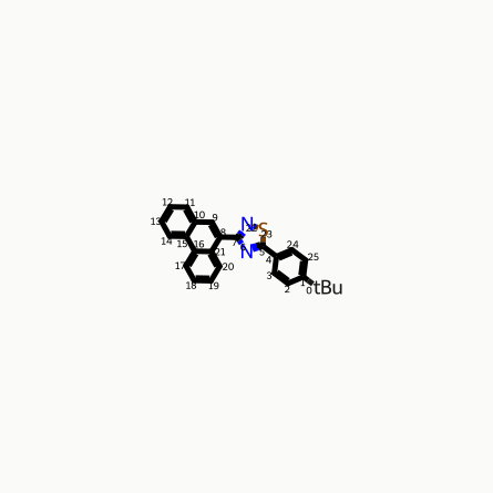 CC(C)(C)c1ccc(-c2nc(-c3cc4ccccc4c4ccccc34)ns2)cc1